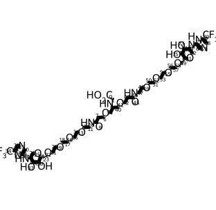 O=C(O)CNC(COCCC(=O)NCCOCCOCCOCCOC[C@H]1OC[C@H](Nc2cncc(C(F)(F)F)n2)[C@@H](O)[C@H]1O)COCCC(=O)NCCOCCOCCOCCOC[C@H]1OC[C@H](Nc2cncc(C(F)(F)F)n2)[C@@H](O)[C@H]1O